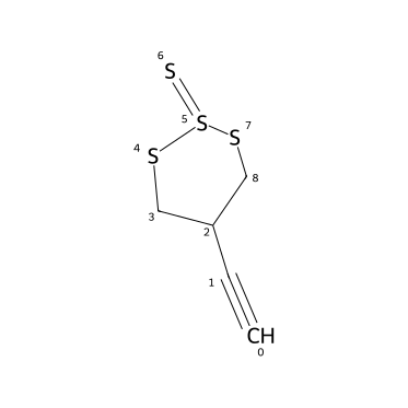 C#CC1CSS(=S)SC1